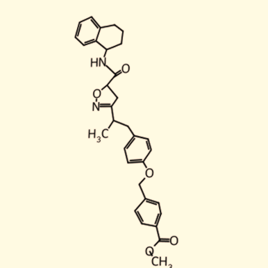 COC(=O)c1ccc(COc2ccc(CC(C)C3=NOC(C(=O)NC4CCCc5ccccc54)C3)cc2)cc1